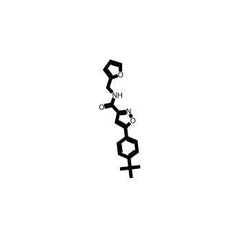 CC(C)(C)c1ccc(-c2cc(C(=O)NCc3ccco3)no2)cc1